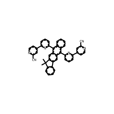 CC1(C)c2ccccc2-c2cc3c(-c4cccc(-c5ccnc(C#N)c5)n4)c4ccccc4c(-c4cccc(-c5ccnc(C#N)c5)n4)c3cc21